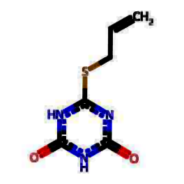 C=CCSc1nc(=O)[nH]c(=O)[nH]1